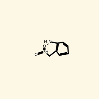 Nc1ccc[c]c1C[SH](=O)=O